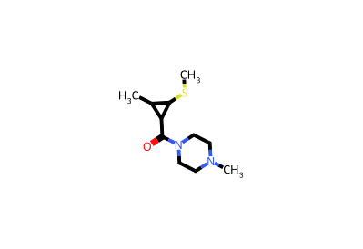 CSC1C(C)C1C(=O)N1CCN(C)CC1